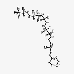 O=C(CCN1CCOCC1)OCCC(F)(F)C(F)(F)CCC(F)(F)CC(F)(F)C(F)(F)CCC(F)(F)C(F)(F)F